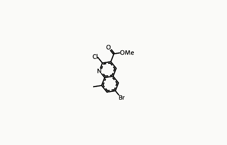 COC(=O)c1cc2cc(Br)cc(C)c2nc1Cl